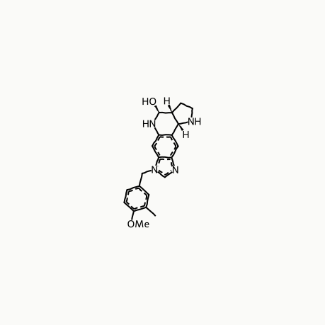 COc1ccc(Cn2cnc3cc4c(cc32)N[C@@H](O)[C@@H]2CCN[C@H]42)cc1C